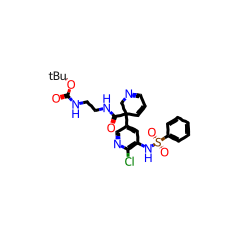 CC(C)(C)OC(=O)NCCNC(=O)C1(c2cnc(Cl)c(NS(=O)(=O)c3ccccc3)c2)C=CC=NC1